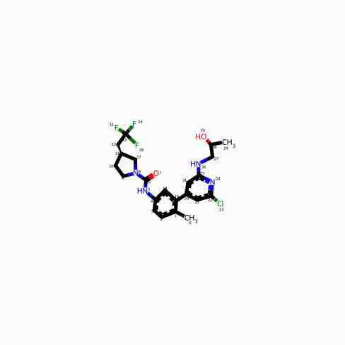 Cc1ccc(NC(=O)N2CC[C@@H](CC(F)(F)F)C2)cc1-c1cc(Cl)nc(NCC(C)O)c1